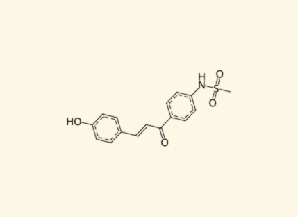 CS(=O)(=O)Nc1ccc(C(=O)C=Cc2ccc(O)cc2)cc1